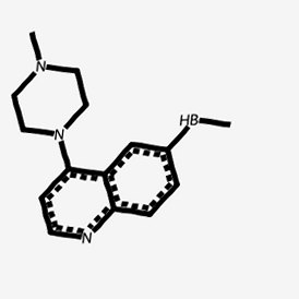 CBc1ccc2nccc(N3CCN(C)CC3)c2c1